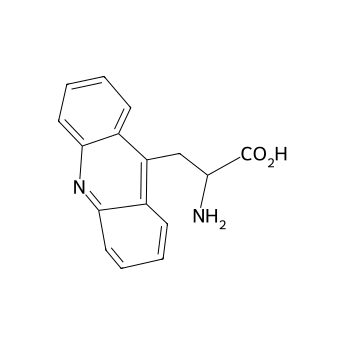 NC(Cc1c2ccccc2nc2ccccc12)C(=O)O